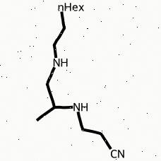 CCCCCCCCNCC(C)NCCC#N